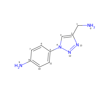 NCc1cn(-c2ccc(N)cc2)nn1